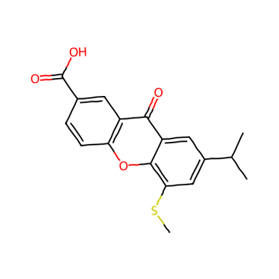 CSc1cc(C(C)C)cc2c(=O)c3cc(C(=O)O)ccc3oc12